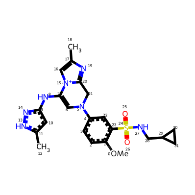 COc1ccc(N2C=C(Nc3cc(C)[nH]n3)[N+]3C=C(C)N=C3C2)cc1S(=O)(=O)NCC1CC1